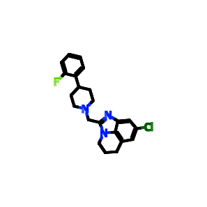 Fc1ccccc1C1CCN(Cc2nc3cc(Cl)cc4c3n2CCC4)CC1